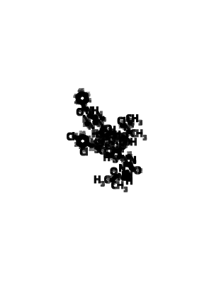 CC(C)C(=O)Nc1nc2c(ncn2[C@@H]2S[C@@H]3COP(=S)(SCc4ccc(Cl)cc4Cl)O[C@H]4[C@H](F)[C@H](n5cnc6c(NC(=O)c7ccccc7)ncnc65)O[C@@H]4COP(=O)(O)O[C@@H]2[C@@H]3O[Si](C)(C)C(C)(C)C)c(=O)[nH]1.CCN(CC)CC